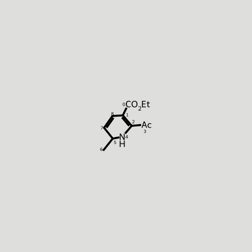 CCOC(=O)C1=C(C(C)=O)NC(C)C=C1